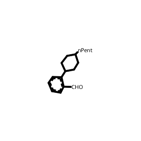 CCCCCC1CCC(c2ccccc2C=O)CC1